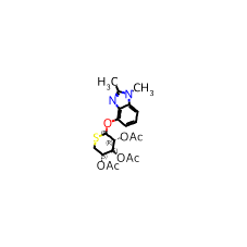 CC(=O)O[C@@H]1[C@@H](OC(C)=O)[C@H](OC(C)=O)CS[C@H]1Oc1cccc2c1nc(C)n2C